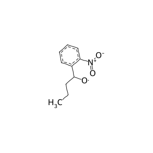 CCCC([O])c1ccccc1[N+](=O)[O-]